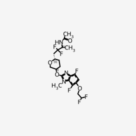 CC(=O)N[C@@H](C)C(F)(F)C[C@@H]1CC[C@@H](Oc2nc3c(F)cc(OCC(F)F)c(F)c3n2C)CO1